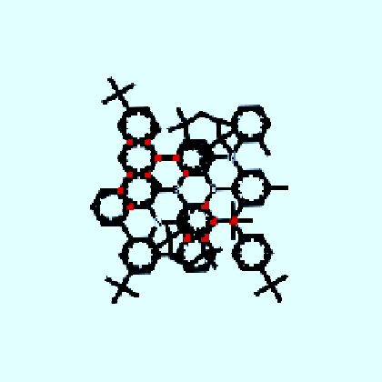 Cc1cc2c3c(c1)N(c1c(C)cccc1C)c1ccc(-c4c(C)ccc(-c5cccc(-c6cc(C(C)(C)C)cc(-c7ccccc7)c6N6c7ccc(C(C)(C)C)cc7B7c8sc9c(c8N(c8ccc(C(C)(C)C)cc8)c8cc(C)cc6c87)C(C)(C)CCC9(C)C)c5)c4C)cc1B3c1sc3c(c1N2c1ccc(C(C)(C)C)cc1)C(C)(C)CCC3(C)C